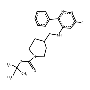 CC(C)(C)OC(=O)N1CCC(CNc2cc(Cl)nnc2-c2ccccc2)CC1